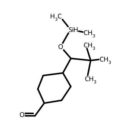 C[SiH](C)OC(C1CCC(C=O)CC1)C(C)(C)C